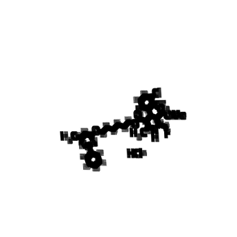 COC(=O)C1=C(CF)NC(C)=C(C(=O)OCCCCCCOc2cc(C)nc(-c3ccccc3)n2)C1c1c(F)ccc(Cl)c1C(F)(F)F.Cl